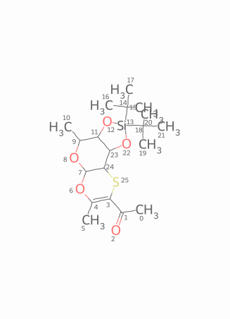 CC(=O)C1=C(C)OC2OC(C)C3O[Si](C(C)(C)C)(C(C)(C)C)OC3C2S1